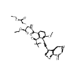 CCOC(=O)CC[C@H](NC(=O)c1ccc(OC)c(C#Cc2cnc3[nH]cncc2-3)c1C(=O)C(C)(C)C)C(=O)OCC